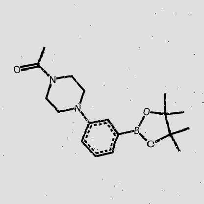 CC(=O)N1CCN(c2cccc(B3OC(C)(C)C(C)(C)O3)c2)CC1